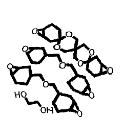 C1CC2(CC3OC13)OCC1(CO2)COC2(CCC3OC3C2)OC1.C1CC2OC2CC1COCC1CCC2OC2C1.C1CC2OC2CC1COCC1CCC2OC2C1.OCCO